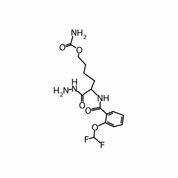 NNC(=O)C(CCCCOC(N)=O)NC(=O)c1ccccc1OC(F)F